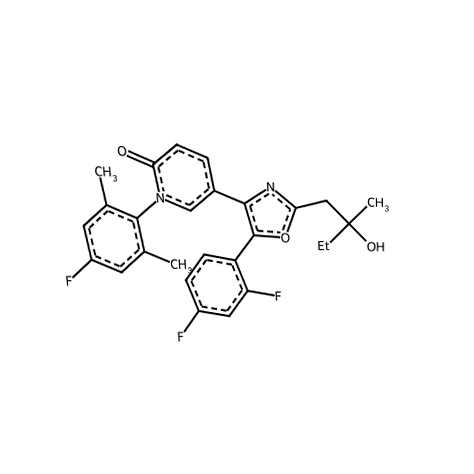 CCC(C)(O)Cc1nc(-c2ccc(=O)n(-c3c(C)cc(F)cc3C)c2)c(-c2ccc(F)cc2F)o1